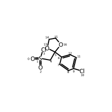 O=S(=O)(Cl)CC1(c2ccc(Cl)cc2)OCCO1